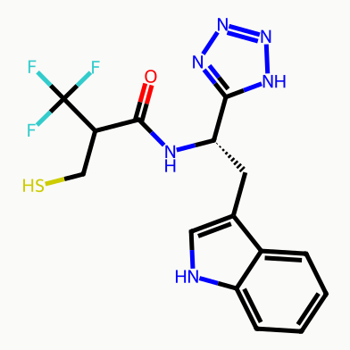 O=C(N[C@@H](Cc1c[nH]c2ccccc12)c1nnn[nH]1)C(CS)C(F)(F)F